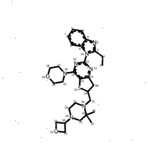 CCc1nc2ccccc2n1-c1nc2c(c(N3CCOCC3)n1)SC(CN1CCN(C3COC3)CC1(C)C)C2